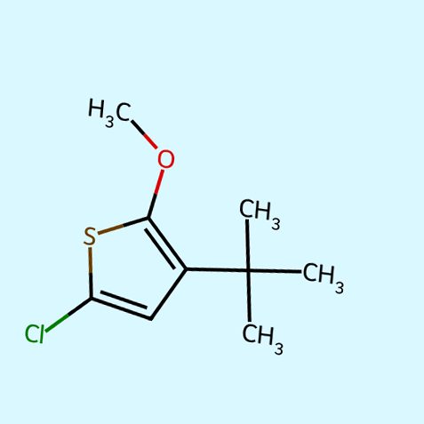 COc1sc(Cl)cc1C(C)(C)C